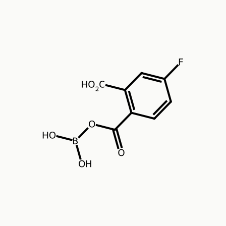 O=C(O)c1cc(F)ccc1C(=O)OB(O)O